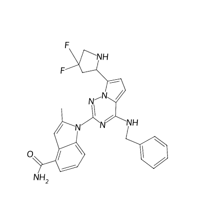 Cc1cc2c(C(N)=O)cccc2n1-c1nc(NCc2ccccc2)c2ccc(C3CC(F)(F)CN3)n2n1